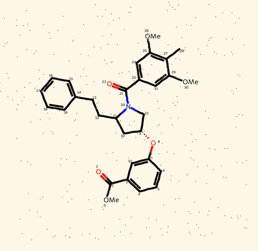 COC(=O)c1cccc(O[C@@H]2CC(CCc3ccccc3)N(C(=O)c3cc(OC)c(C)c(OC)c3)C2)c1